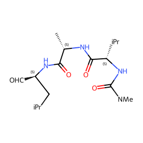 CNC(=O)N[C@H](C(=O)N[C@@H](C)C(=O)N[C@H](C=O)CC(C)C)C(C)C